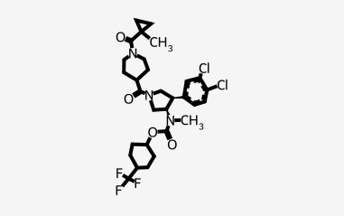 CN(C(=O)OC1CCC(C(F)(F)F)CC1)[C@H]1CN(C(=O)C2CCN(C(=O)C3(C)CC3)CC2)C[C@H]1c1ccc(Cl)c(Cl)c1